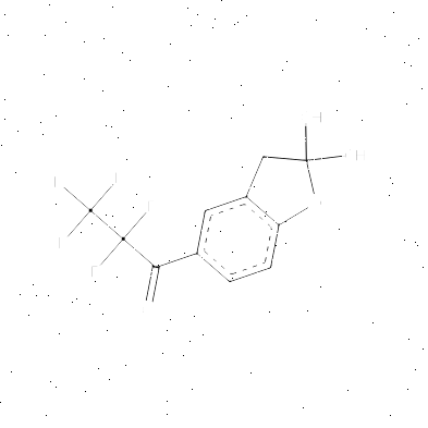 CC1(C)Cc2cc(C(=O)C(F)(F)C(F)(F)F)ccc2O1